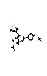 CC(CO)n1cnc2c(-c3cnn(C)c3)nc(-c3ccc(OC(F)(F)F)cc3)cc2c1=O